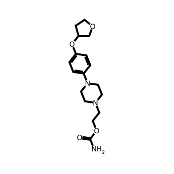 NC(=O)OCCN1CCN(c2ccc(OC3CCOC3)cc2)CC1